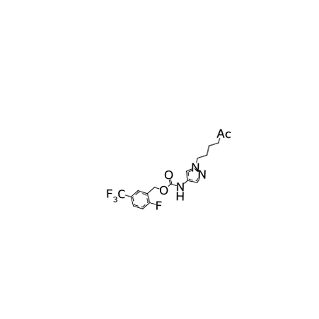 CC(=O)CCCCn1cc(NC(=O)OCc2cc(C(F)(F)F)ccc2F)cn1